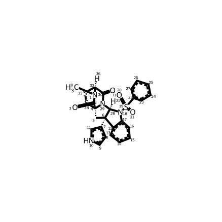 CN1C(=O)[C@@]23C[C@]4(c5cc[nH]c5)c5ccccc5N(S(=O)(=O)c5ccccc5)[C@@H]4N2C(=O)[C@@H]1SS3